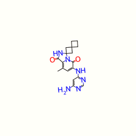 Cc1cc(Nc2cc(N)ncn2)c(=O)n2c1C(=O)NC21CC2(CCC2)C1